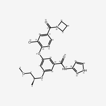 COC[C@H](C)Oc1cc(Oc2ncc(C(=O)N3CCC3)cc2Cl)cc(C(=O)Nc2cc[nH]n2)c1